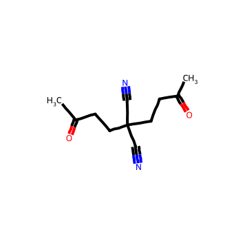 CC(=O)CCC(C#N)(C#N)CCC(C)=O